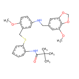 COc1ccc(NCc2cc(OC)c3c(c2)OCO3)cc1CSc1ccccc1NC(=O)C(C)(C)C